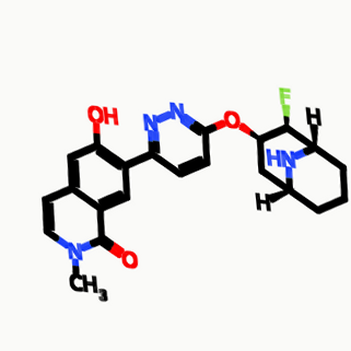 Cn1ccc2cc(O)c(-c3ccc(O[C@@H]4C[C@H]5CCC[C@H](N5)[C@@H]4F)nn3)cc2c1=O